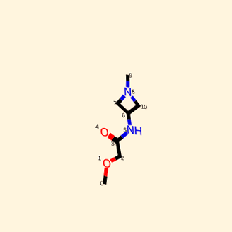 COCC(=O)NC1CN(C)C1